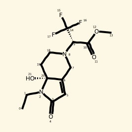 CCN1C(=O)C=C2CN([C@@H](C(=O)OC)C(F)(F)F)CC[C@@]21O